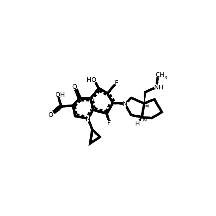 CNC[C@@]12CCC[C@@H]1CN(c1c(F)c(O)c3c(=O)c(C(=O)O)cn(C4CC4)c3c1F)C2